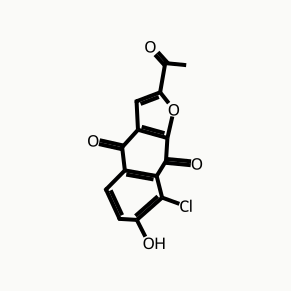 CC(=O)c1cc2c(o1)C(=O)c1c(ccc(O)c1Cl)C2=O